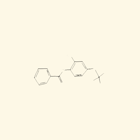 Cc1cc(OC(F)(F)F)ccc1NC(=O)c1ccccc1